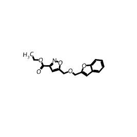 CCOC(=O)c1cc(COCc2cc3ccccc3o2)on1